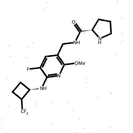 COc1nc(N[C@H]2CCC2C(F)(F)F)c(F)cc1CNC(=O)[C@@H]1CCCN1